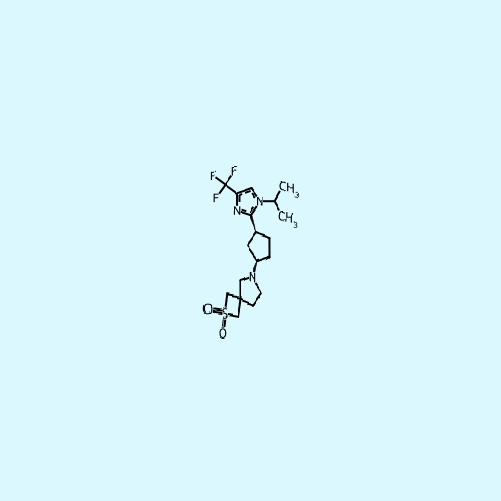 CC(C)n1cc(C(F)(F)F)nc1[C@H]1CC[C@@H](N2CCC3(C2)CS(=O)(=O)C3)C1